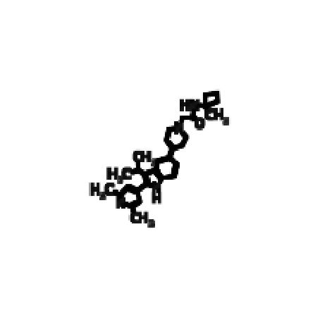 Cc1cc(-c2[nH]c3ccc(C4CCN(CC(=O)NC5(C)CCC5)CC4)cc3c2C(C)C)cc(C)n1